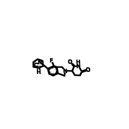 O=C1CCC(N2Cc3ccc(N4CC5CCC4CN5)c(F)c3C2)C(=O)N1